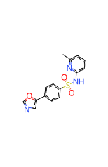 Cc1cccc(NS(=O)(=O)c2ccc(-c3cnco3)cc2)n1